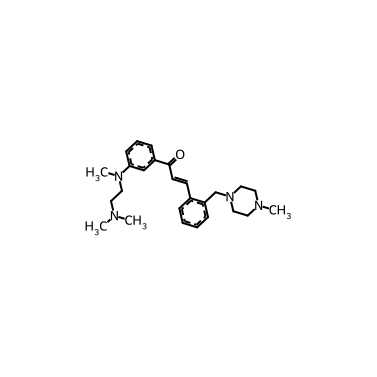 CN(C)CCN(C)c1cccc(C(=O)C=Cc2ccccc2CN2CCN(C)CC2)c1